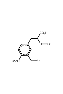 COc1ccc(CC(OC(C)C)C(=O)O)cc1CBr